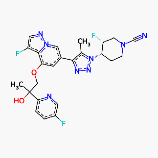 Cc1c(-c2cc(OCC(C)(O)c3ccc(F)cn3)c3c(F)cnn3c2)nnn1[C@H]1CCN(C#N)C[C@H]1F